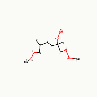 CC(CCC(C)(COOC(C)(C)C)OO)COOC(C)(C)C